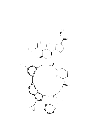 C=CC(=O)C1CC[C@H](C(=O)N(C)[C@H](C(=O)N[C@H]2Cc3cc(O)cc(c3)-c3ccc4c(c3)c(c(-c3cccnc3)n4C3CC3)CC(C)(C)COC(=O)[C@@H]3CCCN(N3)C2=O)C(C)C)C1